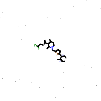 C=C(CCC(F)F)C1=C(C)CCN(Cc2ccc(C(=C/C)/C(C)=C\C)s2)C1=C